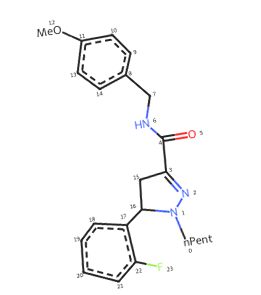 CCCCCN1N=C(C(=O)NCc2ccc(OC)cc2)CC1c1ccccc1F